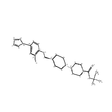 CC(C)(C)OC(=O)N1CCN([C@H]2CC[C@H](COc3ccc(-n4cnnn4)cc3F)CC2)CC1